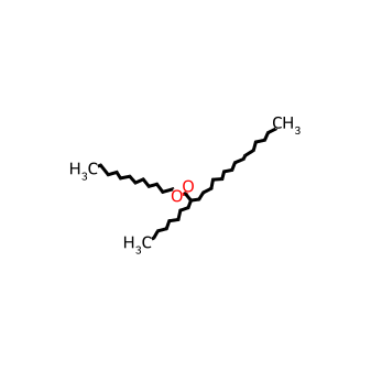 CCCCCCCCCCCCCCCCC(CCCCCCCC)C(=O)OCCCCCCCCCCCC